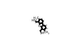 Cc1ccc2c(oc3c(CS)c(C)ccc32)c1CS